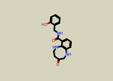 O=C1CCNc2c(cccc2C(=O)NCc2ccccc2O)NC1